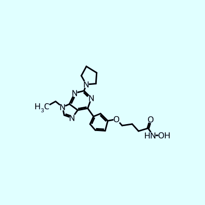 CCn1cnc2c(-c3cccc(OCCCC(=O)NO)c3)nc(N3CCCC3)nc21